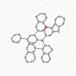 c1ccc(-c2ccc(N(c3ccc4c(c3)sc3ccccc34)c3ccc4ccccc4c3-c3cccc4ccccc34)c(-c3ccc4ccccc4c3)c2)cc1